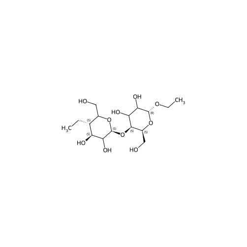 CCO[C@@H]1O[C@@H](CO)[C@@H](O[C@@H]2OC(CO)[C@@H](CC)[C@H](O)C2O)C(O)C1O